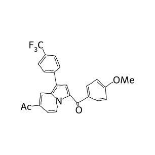 COc1ccc(C(=O)c2cc(-c3ccc(C(F)(F)F)cc3)c3cc(C(C)=O)ccn23)cc1